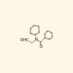 O=CCN(C(=O)c1ccccc1)c1ccccc1